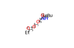 CCC(=O)CCOCCOCCNC(=O)C(C)(C)C